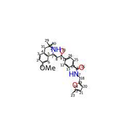 COc1ccc2c(c1)C(=CC(=O)c1ccc(C(=O)NCc3ccc(C)o3)cc1)NC(C)(C)C2